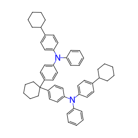 c1ccc(N(c2ccc(C3CCCCC3)cc2)c2ccc(C3(c4ccc(N(c5ccccc5)c5ccc(C6CCCCC6)cc5)cc4)CCCCC3)cc2)cc1